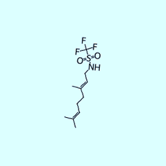 CC(C)=CCC/C(C)=C/CNS(=O)(=O)C(F)(F)F